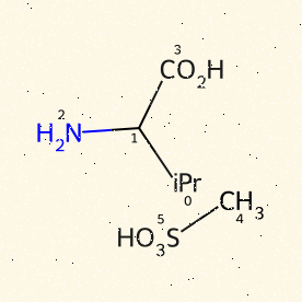 CC(C)C(N)C(=O)O.CS(=O)(=O)O